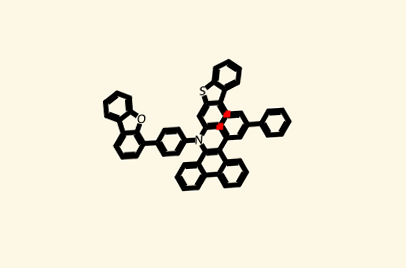 c1ccc(-c2cccc(-c3c(N(c4ccc(-c5cccc6c5oc5ccccc56)cc4)c4ccc5c(c4)sc4ccccc45)c4ccccc4c4ccccc34)c2)cc1